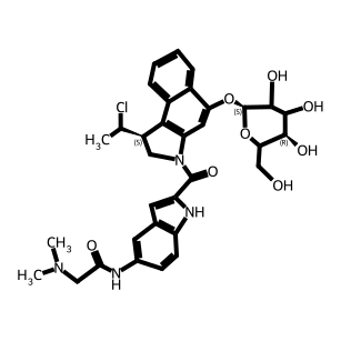 CC(Cl)[C@@H]1CN(C(=O)c2cc3cc(NC(=O)CN(C)C)ccc3[nH]2)c2cc(O[C@@H]3OC(CO)[C@H](O)C(O)C3O)c3ccccc3c21